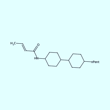 C/C=C/C(=O)NC1CCC(C2CCC(CCCCC)CC2)CC1